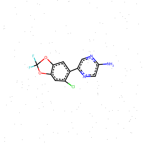 Nc1cnc(-c2cc3c(cc2Cl)OC(F)(F)O3)cn1